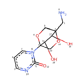 NCC12COC(n3cccnc3=O)(CO1)C(O)C2O